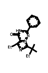 CCc1nc(C(C)(C)CC)n2nc(-c3ccccc3)[nH]c(=O)c12